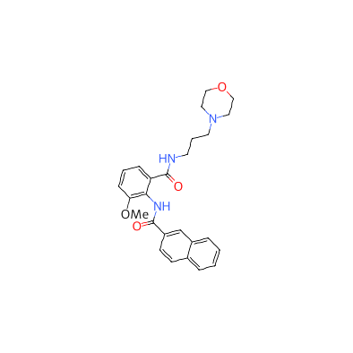 COc1cccc(C(=O)NCCCN2CCOCC2)c1NC(=O)c1ccc2ccccc2c1